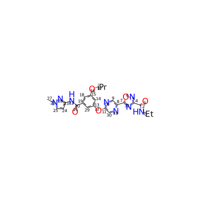 CCNC(=O)c1noc(-c2cnc(Oc3cc(OC(C)C)cc(C(=O)Nc4ccn(C)n4)c3)cn2)n1